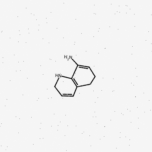 NC1=CCCC2=C1NCC=C2